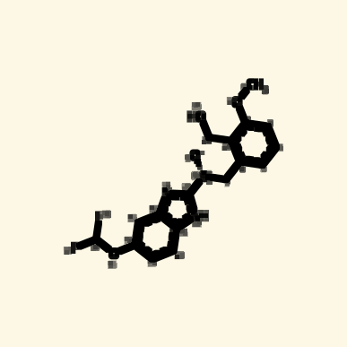 COc1cccc(C[S@@+]([O-])c2nc3cc(OC(F)F)ccc3[nH]2)c1CO